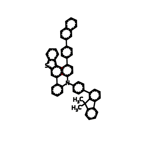 CC1(C)c2ccccc2-c2cccc(-c3ccc(N(c4ccc(-c5ccc(-c6ccc7ccccc7c6)cc5)cc4)c4ccccc4-c4ccc5c(c4)sc4ccccc45)cc3)c21